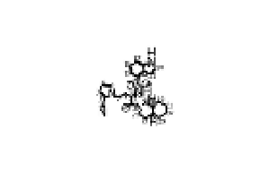 N#Cc1cccn1CCC(NS(=O)(=O)c1cccc2[nH]ccc12)C(=O)N1CC[C@H]2CCCC[C@@H]2C1